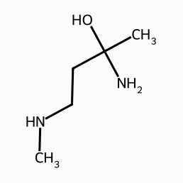 CNCCC(C)(N)O